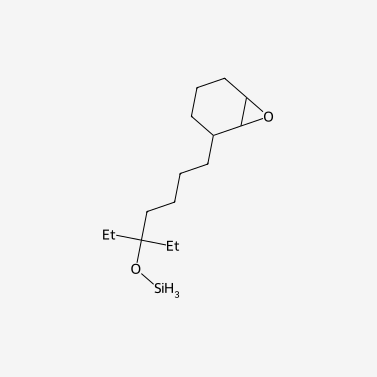 CCC(CC)(CCCCC1CCCC2OC12)O[SiH3]